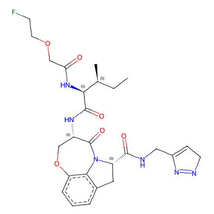 CC[C@H](C)[C@H](NC(=O)COCCF)C(=O)N[C@H]1COc2cccc3c2N(C1=O)[C@H](C(=O)NCC1=CCN=N1)C3